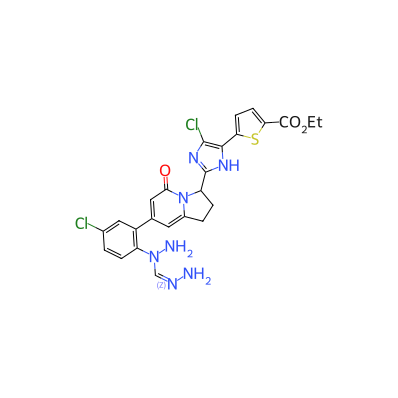 CCOC(=O)c1ccc(-c2[nH]c(C3CCc4cc(-c5cc(Cl)ccc5N(N)/C=N\N)cc(=O)n43)nc2Cl)s1